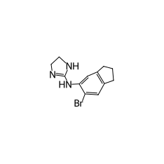 Brc1cc2c(cc1NC1=NCCN1)CCC2